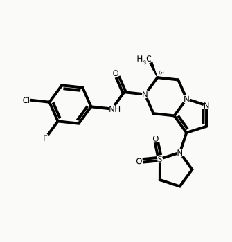 C[C@H]1Cn2ncc(N3CCCS3(=O)=O)c2CN1C(=O)Nc1ccc(Cl)c(F)c1